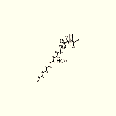 CCCCCCCCCCCCCCOC(=O)C(C)(C)NC(C)C.Cl